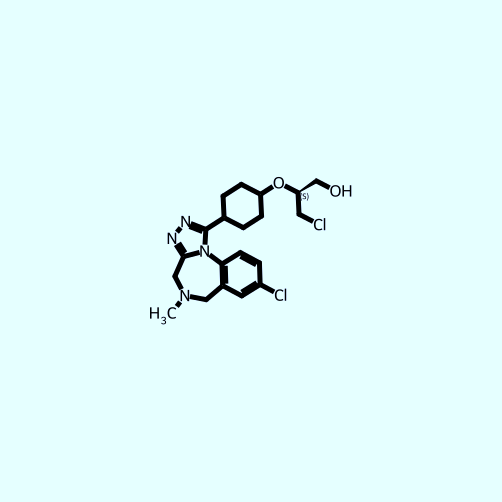 CN1Cc2cc(Cl)ccc2-n2c(nnc2C2CCC(O[C@@H](CO)CCl)CC2)C1